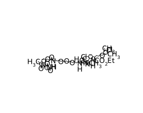 CCOC(=O)c1[nH]c2c(-c3c(C)nn(CC(=O)NCCCOCCOCCOCCCNC(=O)COc4ccc5c(C)cc(=O)n(C6CCC(=O)NC6=O)c5c4)c3C)c(Cl)ccc2c1CCCOc1cc(C)c(Cl)c(C)c1